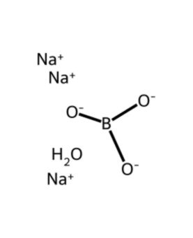 O.[Na+].[Na+].[Na+].[O-]B([O-])[O-]